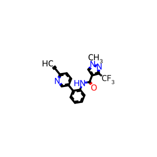 C#Cc1ccc(-c2ccccc2NC(=O)c2cn(C)nc2C(F)(F)F)cn1